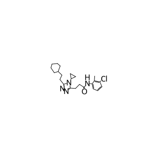 Cc1c(Cl)cccc1NC(=O)CCc1nnc(CCC2CCCCC2)n1C1CC1